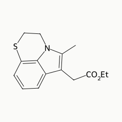 CCOC(=O)Cc1c(C)n2c3c(cccc13)SCC2